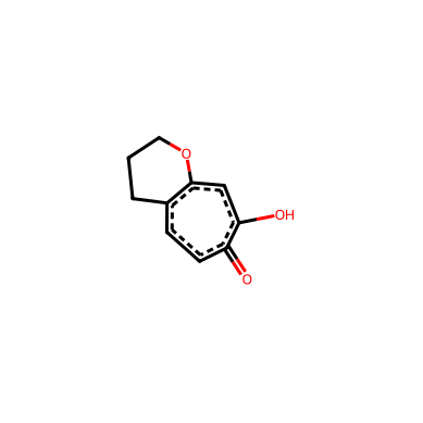 O=c1ccc2c(cc1O)OCCC2